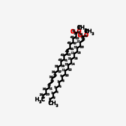 CCCCCCCCCCCCCCCCCCCCCCCC(=O)OC.CCCCCCCCCCCCCCCCCCCCCCCC(=O)OC